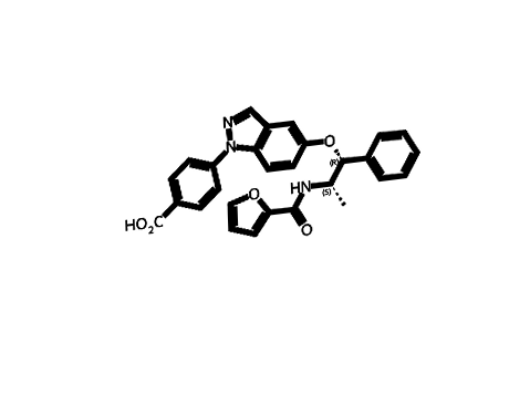 C[C@H](NC(=O)c1ccco1)[C@H](Oc1ccc2c(cnn2-c2ccc(C(=O)O)cc2)c1)c1ccccc1